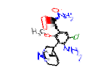 COc1c(C(=O)[NH2+][O-])cc(Cl)c(N)c1C1CN2CCC1CC2